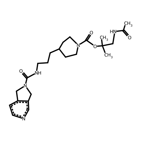 CC(=O)NCC(C)(C)OC(=O)N1CCC(CCCNC(=O)N2Cc3ccncc3C2)CC1